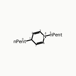 CCCCCC1C=CN(CCCCC)C=C1